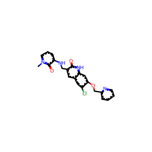 Cn1cccc(NCc2cc3cc(Cl)c(OCc4ccccn4)cc3[nH]c2=O)c1=O